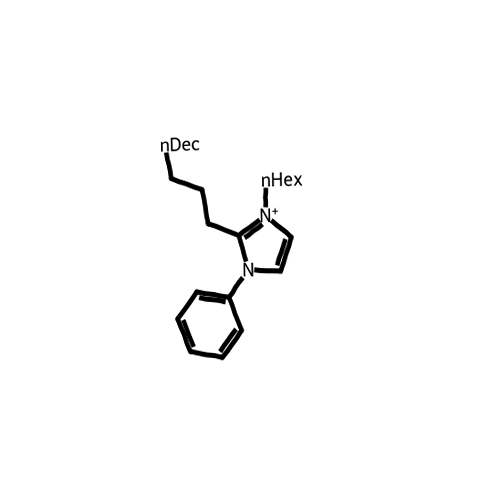 CCCCCCCCCCCCCc1n(-c2ccccc2)cc[n+]1CCCCCC